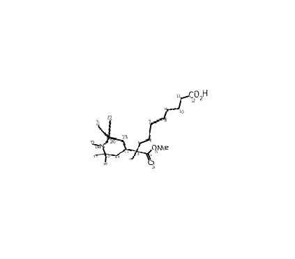 COC(=O)C(C)(CCCCCCCC(=O)O)C1CC(C)(C)N(C)C(C)(C)C1